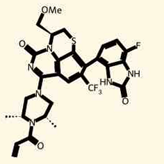 C=CC(=O)N1[C@H](C)CN(c2nc(=O)n3c4c(c(-c5ccc(F)c6[nH]c(=O)[nH]c56)c(C(F)(F)F)cc24)SC[C@@H]3COC)C[C@@H]1C